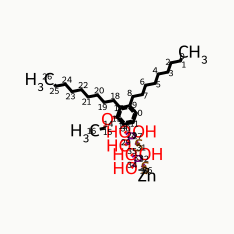 CCCCCCCCCc1cccc(OCC)c1CCCCCCCCC.OP(O)(O)=S.OP(O)(O)=S.[Zn]